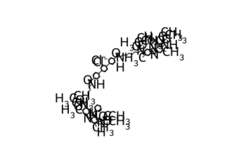 Cc1cc2nc3cc(C)c(N(CCCCCCNC(=O)c4ccc(-c5ccc(-c6ccc(C(=O)NCCCCCCN(C(=O)OC(C)(C)C)c7cc8c(cc7C)nc7cc(C)c(NC(=O)OC(C)(C)C)cc7[n+]8-c7ccccc7)cc6)cc5)cc4)C(=O)OC(C)(C)C)cc3[n+](-c3ccccc3)c2cc1NC(=O)OC(C)(C)C.[Cl-].[Cl-]